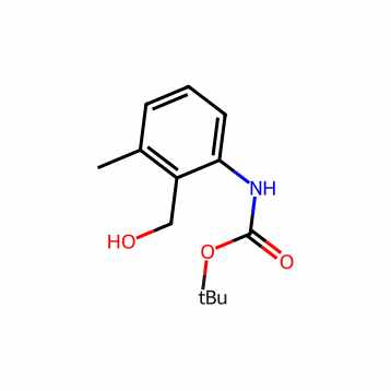 Cc1cccc(NC(=O)OC(C)(C)C)c1CO